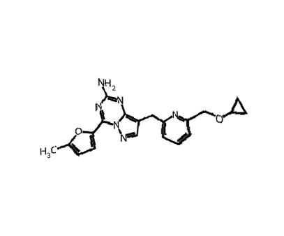 Cc1ccc(-c2nc(N)nc3c(Cc4cccc(COC5CC5)n4)cnn23)o1